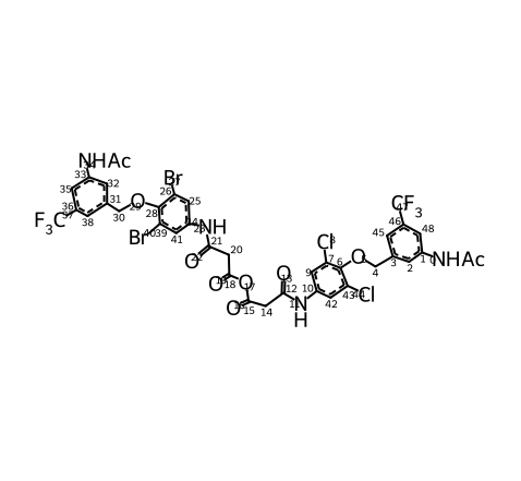 CC(=O)Nc1cc(COc2c(Cl)cc(NC(=O)CC(=O)OC(=O)CC(=O)Nc3cc(Br)c(OCc4cc(NC(C)=O)cc(C(F)(F)F)c4)c(Br)c3)cc2Cl)cc(C(F)(F)F)c1